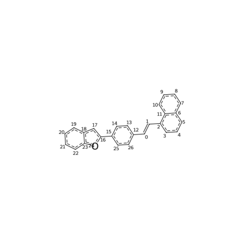 C(=C\c1cccc2ccccc12)/c1ccc(-c2cc3ccccc3o2)cc1